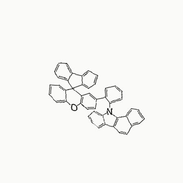 c1ccc2c(c1)Oc1ccc(-c3ccccc3-n3c4ccccc4c4ccc5ccccc5c43)cc1C21c2ccccc2-c2ccccc21